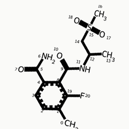 Cc1ccc(C(N)=O)c(C(=O)NC(C)CS(C)(=O)=O)c1F